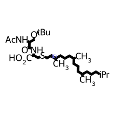 CC(=O)NC(COC(C)(C)C)C(=O)NC(CSC/C=C(\C)CCCC(C)CCCC(C)CCCC(C)C)C(=O)O